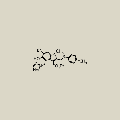 CCOC(=O)c1c(CSc2ccc(C)cc2)n(C)c2cc(Br)c(O)c(Cn3cncn3)c12